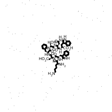 NCCCC[C@H](N)C(=O)N[C@@H](Cc1c[nH]c2ccccc12)C(=O)N[C@@H](CC(=O)O)C(=O)N[C@@H](Cc1ccccc1)C(=O)N[C@@H](CO)C(=O)N[C@@H](CC(N)=O)C(=O)N[C@@H](Cc1c[nH]c2ccccc12)C(=O)O